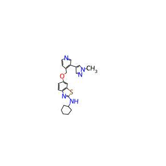 Cn1cc(-c2cnccc2COc2ccc3nc(NC4CCCCC4)sc3c2)cn1